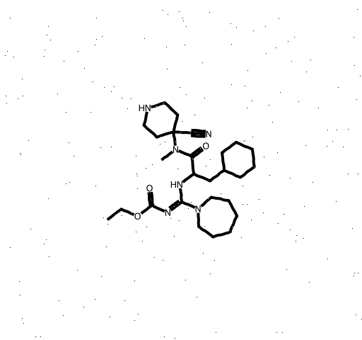 CCOC(=O)N=C(NC(CC1CCCCC1)C(=O)N(C)C1(C#N)CCNCC1)N1CCCCCC1